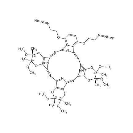 CO[C@]1(C)OC2=C(O[C@@]1(C)OC)c1nc2nc2[nH]c(nc3nc(nc4[nH]c(n1)c1c4O[C@@](C)(OC)[C@](C)(OC)O1)-c1c(OCCN=[N+]=[N-])ccc(OCCN=[N+]=[N-])c1-3)c1c2O[C@@](C)(OC)[C@](C)(OC)O1